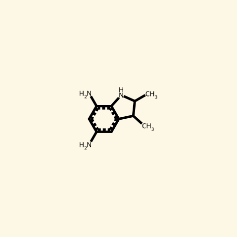 CC1Nc2c(N)cc(N)cc2C1C